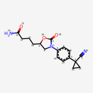 N#CC1(c2ccc(N3CC(CCCC(N)=O)OC3=O)cc2)CC1